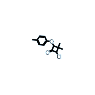 Cc1ccc(OC2C(=O)C(Cl)C2(C)C)cc1